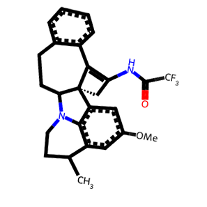 COc1cc2c3c(c1)[C@]14CC(NC(=O)C(F)(F)F)=C1c1ccccc1CCC4N3CCC2C